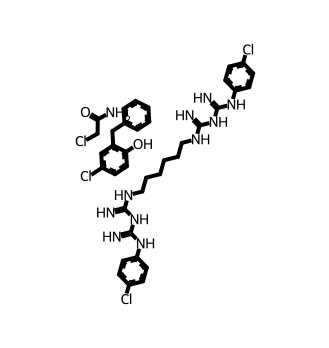 N=C(NCCCCCCNC(=N)NC(=N)Nc1ccc(Cl)cc1)NC(=N)Nc1ccc(Cl)cc1.NC(=O)CCl.Oc1ccc(Cl)cc1Cc1ccccc1